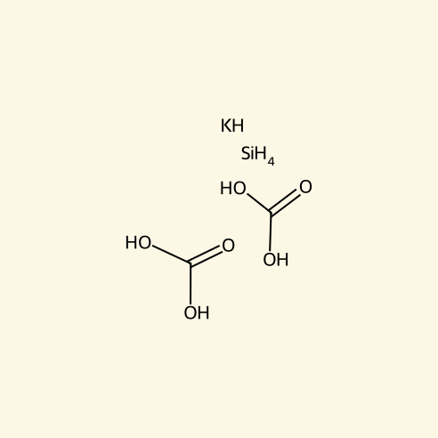 O=C(O)O.O=C(O)O.[KH].[SiH4]